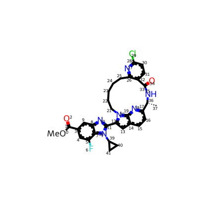 COC(=O)c1cc(F)c2c(c1)nc(-c1cc3ccc4nc3n1CCCCCc1nc(Cl)ccc1C(=O)N[C@@H]4C)n2C1CC1